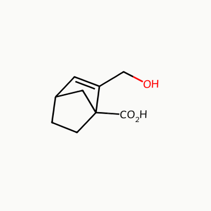 O=C(O)C12CCC(C=C1CO)C2